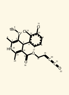 CC1=C(OC(C)(C)C)C(c2cccc(Cl)c2Cl)C(C(=O)OCC=C=C=O)=C(C)N1